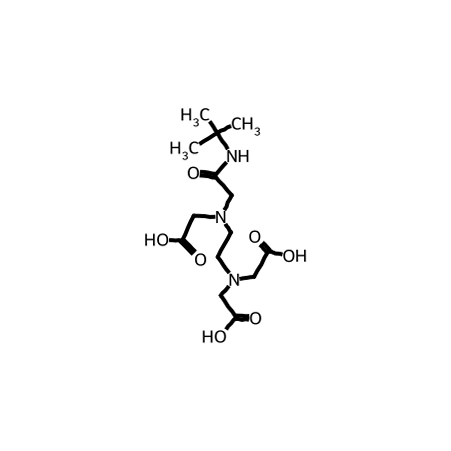 CC(C)(C)NC(=O)CN(CCN(CC(=O)O)CC(=O)O)CC(=O)O